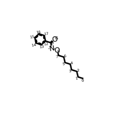 CCCCCCCCO[N]C(=O)c1ccccc1